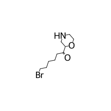 O=C(CCCCCBr)C1CNCCO1